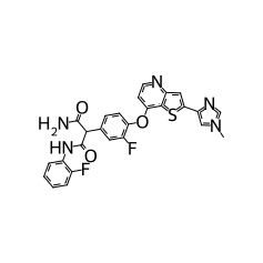 Cn1cnc(-c2cc3nccc(Oc4ccc(C(C(N)=O)C(=O)Nc5ccccc5F)cc4F)c3s2)c1